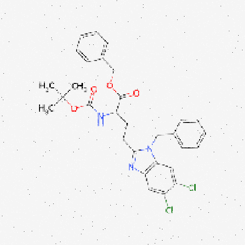 CC(C)(C)OC(=O)NC(CCc1nc2cc(Cl)c(Cl)cc2n1Cc1ccccc1)C(=O)OCc1ccccc1